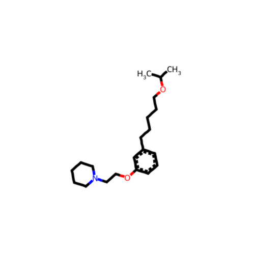 CC(C)OCCCCCc1cccc(OCCN2CCCCC2)c1